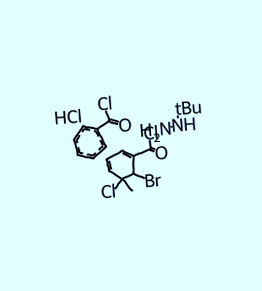 CC(C)(C)NN.CC1(Cl)C=CC=C(C(=O)Cl)C1Br.Cl.O=C(Cl)c1ccccc1